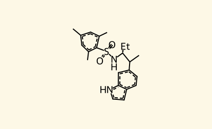 CC[C@H](NS(=O)(=O)c1c(C)cc(C)cc1C)C(C)c1ccc2cc[nH]c2c1